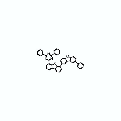 c1ccc(-c2ccc3oc4ccc(-c5cccc6c5sc5c(-c7nc(-c8ccccc8)nc(-c8ccccc8)n7)cccc56)cc4c3c2)cc1